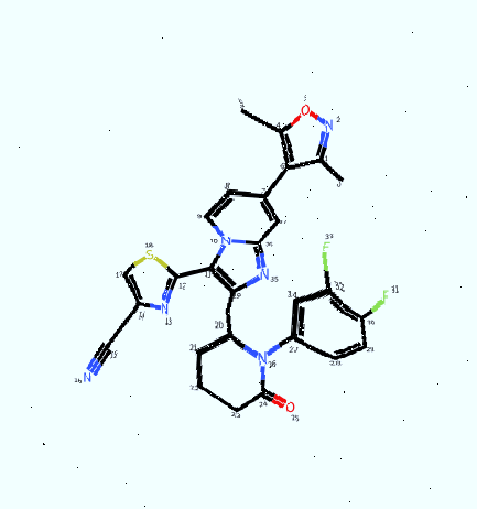 Cc1noc(C)c1-c1ccn2c(-c3nc(C#N)cs3)c(C3CCCC(=O)N3c3ccc(F)c(F)c3)nc2c1